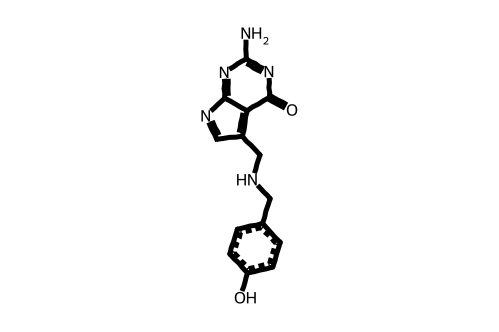 NC1=NC(=O)C2=C(CNCc3ccc(O)cc3)C=NC2=N1